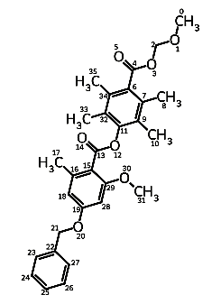 COCOC(=O)c1c(C)c(C)c(OC(=O)c2c(C)cc(OCc3ccccc3)cc2OC)c(C)c1C